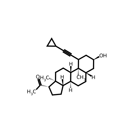 CC(=O)[C@H]1CC[C@H]2[C@@H]3CC[C@H]4C[C@H](O)CC(C#CC5CC5)[C@]4(C)[C@H]3CC[C@]12C